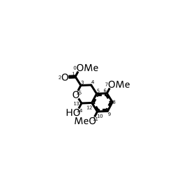 COC(=O)C1Cc2c(OC)ccc(OC)c2C(O)O1